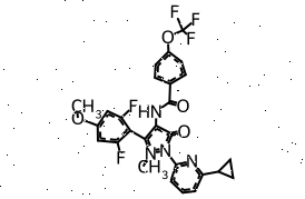 COc1cc(F)c(-c2c(NC(=O)c3ccc(OC(F)(F)F)cc3)c(=O)n(-c3cccc(C4CC4)n3)n2C)c(F)c1